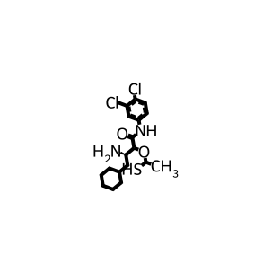 CC(S)OC(C(=O)Nc1ccc(Cl)c(Cl)c1)[C@H](N)CC1CCCCC1